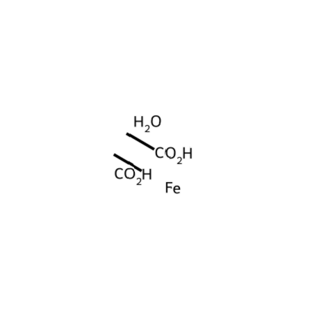 CC(=O)O.CC(=O)O.O.[Fe]